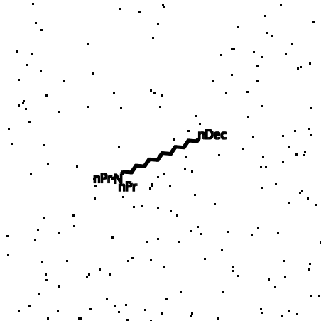 CCCCCCCCCCCCCCCCCCCCCCN(CCC)CCC